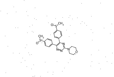 C[S+]([O-])c1ccc(-c2nnc(N3CCOCC3)nc2-c2ccc([S+](C)[O-])cc2)cc1